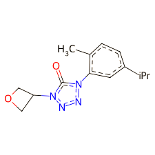 Cc1ccc(C(C)C)cc1-n1nnn(C2COC2)c1=O